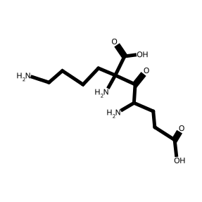 NCCCCC(N)(C(=O)O)C(=O)C(N)CCC(=O)O